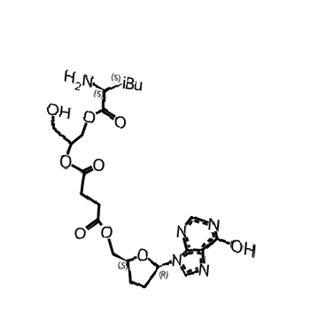 CC[C@H](C)[C@H](N)C(=O)OCC(CO)OC(=O)CCC(=O)OC[C@@H]1CC[C@H](n2cnc3c(O)ncnc32)O1